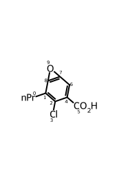 CCCc1c(Cl)c(C(=O)O)cc2c1O2